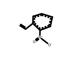 C=Cc1ccc[c]c1[N+](=O)[O-]